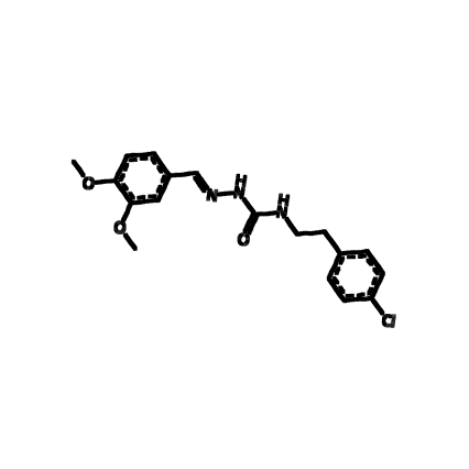 COc1ccc(C=NNC(=O)NCCc2ccc(Cl)cc2)cc1OC